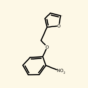 O=[N+]([O-])c1ccccc1OCc1cc[c]o1